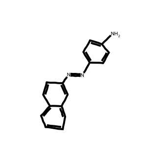 Nc1ccc(N=Nc2ccc3ccccc3c2)cc1